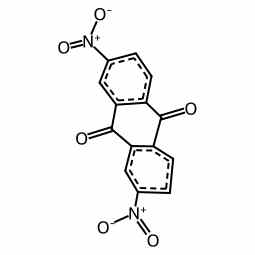 O=C1c2ccc([N+](=O)[O-])cc2C(=O)c2cc([N+](=O)[O-])ccc21